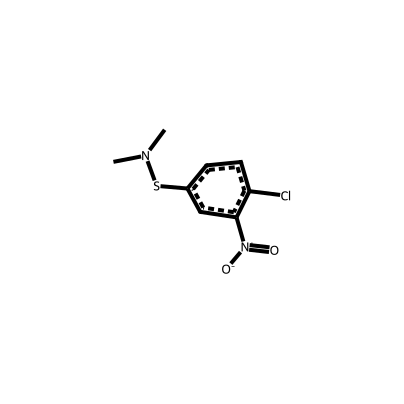 CN(C)Sc1ccc(Cl)c([N+](=O)[O-])c1